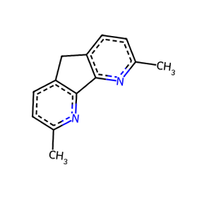 Cc1ccc2c(n1)-c1nc(C)ccc1C2